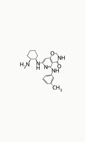 Cc1cccc(Nc2nc(N[C@@H]3CCCC[C@@H]3N)cc3c2C(=O)NCO3)c1